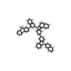 CC1(C)c2ccccc2-c2ccc(-c3nc(-n4c5ccc(-c6ccc7c(c6)c6ccccc6n7-c6ccc7ccccc7c6)cc5c5c6ccccc6ccc54)nc4ccccc34)cc21